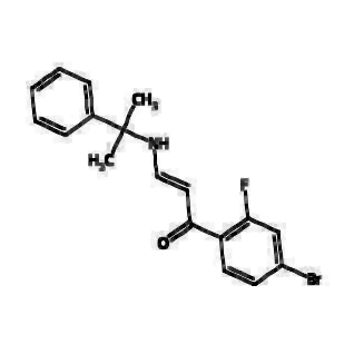 CC(C)(N/C=C/C(=O)c1ccc(Br)cc1F)c1ccccc1